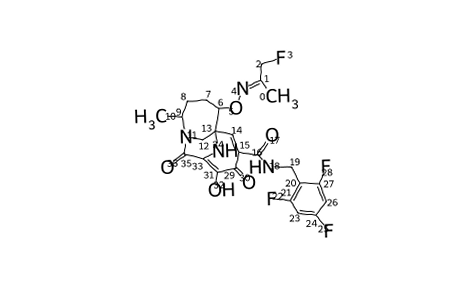 C/C(CF)=N\OC1CCC(C)N2CC13C=C(C(=O)NCc1c(F)cc(F)cc1F)C(=O)C(O)=C(N3)C2=O